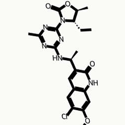 CC[C@H]1[C@H](C)OC(=O)N1c1nc(C)nc(N[C@@H](C)c2cc3cc(Cl)c(OC)cc3[nH]c2=O)n1